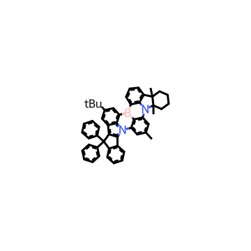 Cc1cc2c3c(c1)-n1c4c(c5cc(C(C)(C)C)cc(c51)B3c1cccc3c1N2C1(C)CCCCC31C)C(c1ccccc1)(c1ccccc1)c1ccccc1-4